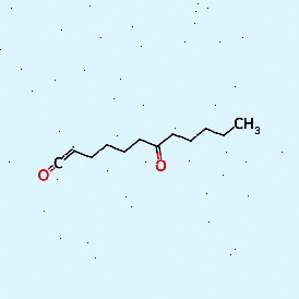 CCCCCC(=O)CCCC[C]=C=O